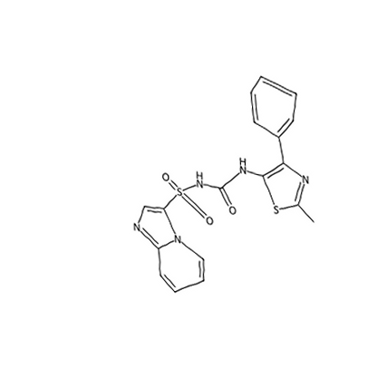 Cc1nc(-c2ccccc2)c(NC(=O)NS(=O)(=O)c2cnc3ccccn23)s1